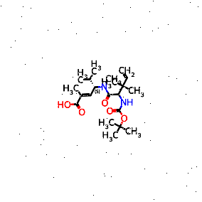 C=CC(C)(C)C(NC(=O)OC(C)(C)C)C(=O)N(C)[C@H](C=C(C)C(=O)O)C(C)C